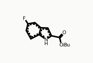 CC(C)COC(=O)c1cc2cc(F)ccc2[nH]1